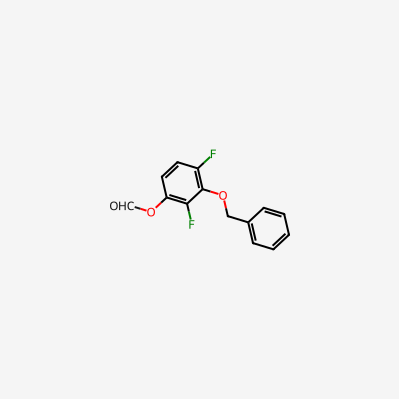 O=COc1ccc(F)c(OCc2ccccc2)c1F